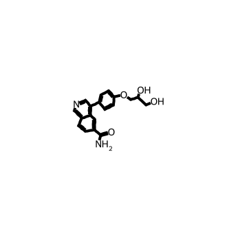 NC(=O)c1ccc2cncc(-c3ccc(OCC(O)CO)cc3)c2c1